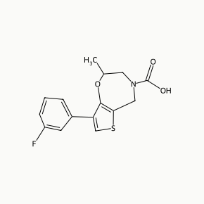 CC1CN(C(=O)O)Cc2scc(-c3cccc(F)c3)c2O1